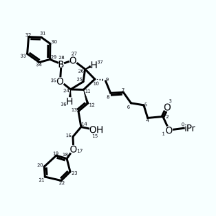 CC(C)OC(=O)CCCC=CC[C@@H]1[C@@H](C=CC(O)COc2ccccc2)[C@H]2C[C@@H]1OB(c1ccccc1)O2